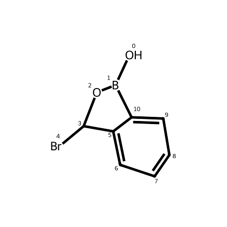 OB1OC(Br)c2ccccc21